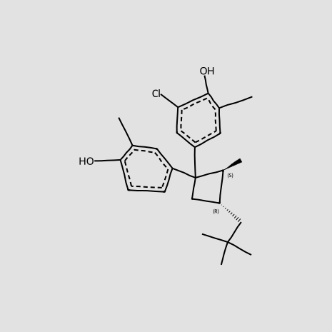 Cc1cc(C2(c3cc(C)c(O)c(Cl)c3)C[C@@H](CC(C)(C)C)[C@@H]2C)ccc1O